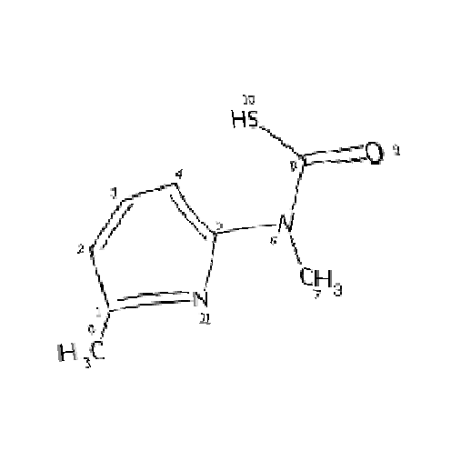 Cc1cccc(N(C)C(=O)S)n1